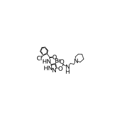 O=C(NCCN1CCCCC1)Oc1n[nH]c(NC(=O)c2ccccc2Cl)c1Br